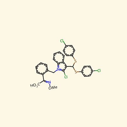 CON=C(C(=O)O)c1ccccc1Cn1c(Cl)c(C(Sc2ccc(Cl)cc2)Sc2ccc(Cl)cc2)c2ccccc21